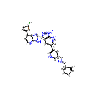 Fc1ccc(-c2ccnc3[nH]c(-c4n[nH]c5ncc(-c6cncc(CNCc7ccccc7)c6)cc45)nc23)s1